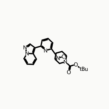 CC(C)(C)OC(=O)N1CC2CCC1CN2c1cccc(-c2cnn3ccccc23)n1